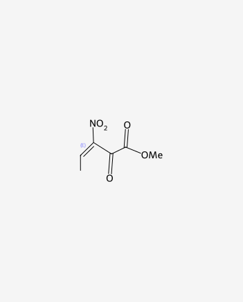 C/C=C(\C(=O)C(=O)OC)[N+](=O)[O-]